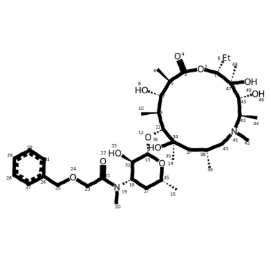 CC[C@H]1OC(=O)[C@H](C)[C@@H](O)[C@H](C)[C@@H](O[C@@H]2O[C@H](C)C[C@H](N(C)C(=O)COCc3ccccc3)[C@H]2O)[C@](C)(O)C[C@@H](C)CN(C)[C@H](C)[C@@H](O)[C@]1(C)O